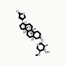 CO[C@H]1CO[C@H](O[C@@H]2CC[C@]3(C)[C@H](CC[C@@H]4[C@H]3CC[C@]3(C)[C@@H](C5=CC(=O)OC5)[CH]C[C@@]43O)C2)[C@@H](C)[C@@H]1O